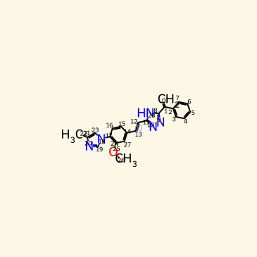 C=C(c1ccccc1)c1nnc(/C=C/c2ccc(-n3cnc(C)c3)c(OC)c2)[nH]1